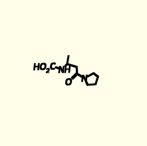 CC(CC(=O)N1CCCC1)NC(=O)O